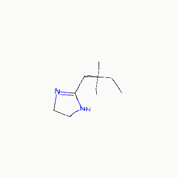 CCC(C)(C)CC1=NCCN1